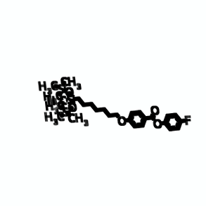 C[Si](C)(C)O[Si](C)(CCCCCCCOc1ccc(C(=O)Oc2ccc(F)cc2)cc1)O[Si](C)(C)C